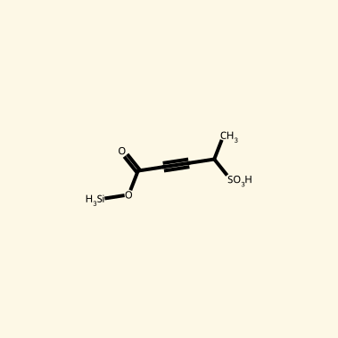 CC(C#CC(=O)O[SiH3])S(=O)(=O)O